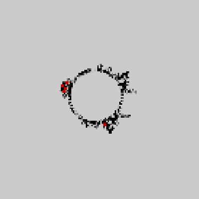 C=C1C[C@H]2CN3C(=O)CNC(=O)[C@H](C(C)C)NC(=O)CCOCCOCCNC(=O)C(N4C(=O)C=CC4=O)C(N4C(=O)C=CC4=O)C(=O)NCCOCCOCCC(=O)N[C@@H](C(C)C)C(=O)NCC(=O)N4c5cc(c(OC)cc5C(=O)N5CC(=C)C[C@H]5[C@@H]4O)OCCCCCOc4cc3c(cc4OC)C(=O)N2C1